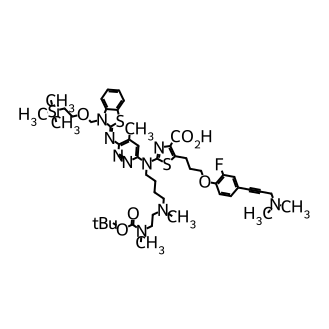 Cc1cc(N(CCCCN(C)CCN(C)C(=O)OC(C)(C)C)c2nc(C(=O)O)c(CCCOc3ccc(C#CCN(C)C)cc3F)s2)nnc1/N=c1\sc2ccccc2n1COCC[Si](C)(C)C